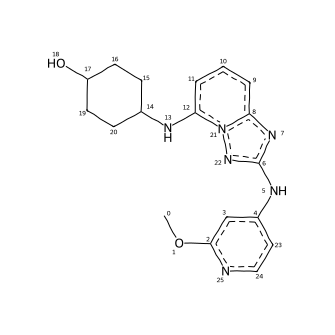 COc1cc(Nc2nc3cccc(NC4CCC(O)CC4)n3n2)ccn1